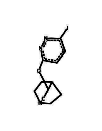 Ic1ccc(OC2CN3CCC2CC3)nn1